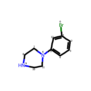 Brc1[c]ccc(N2CCNCC2)c1